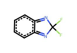 FC1(F)N=c2ccccc2=N1